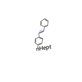 CCCCCCCc1ccc(/C=C/c2ccccc2)cc1